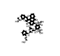 Cn1c(=O)c(C(=O)c2cccc(OS(=O)O)c2)c2c3c(c(Nc4cc(Nc5nc(O)nc(Nc6ccccc6SOOO)n5)c(S(=O)(=O)O)cc4S(=O)(=O)O)ccc31)C(=O)c1ccccc1-2